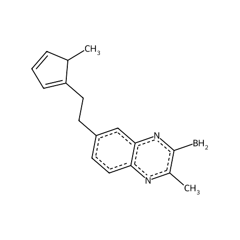 Bc1nc2cc(CCC3=CC=CC3C)ccc2nc1C